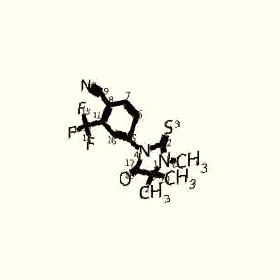 CN1C(=S)N(c2ccc(C#N)c(C(F)(F)F)c2)C(=O)C1(C)C